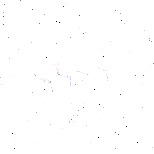 C=C(C)C(=O)NCCSC(C)C